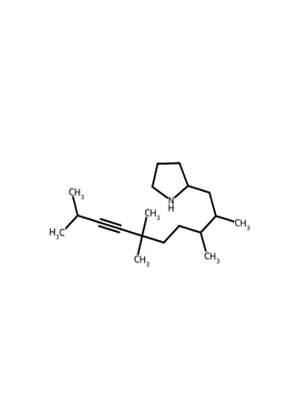 CC(C)C#CC(C)(C)CCC(C)C(C)CC1CCCN1